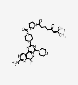 CC(C)=CC(=O)CCCC(=O)N1CC[C@@H](C(=O)N2CCN(c3nc(-c4cnc(N)nc4C(F)F)nc(N4CCOCC4)n3)CC2)C1